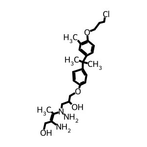 C/C(=C(/N)CO)N(N)CC(O)COc1ccc(C(C)(C)c2ccc(OCCCCl)c(C)c2)cc1